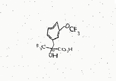 O=C(O)[C@](O)(c1cccc(OC(F)(F)F)c1)C(F)(F)F